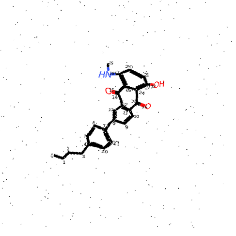 CCCCc1ccc(-c2ccc3c(c2)C(=O)c2c(NC)ccc(O)c2C3=O)cc1